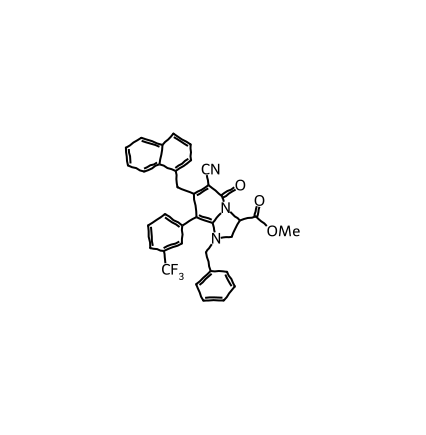 COC(=O)C1CN(Cc2ccccc2)c2c(-c3cccc(C(F)(F)F)c3)c(Cc3cccc4ccccc34)c(C#N)c(=O)n21